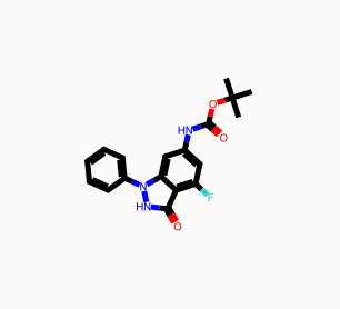 CC(C)(C)OC(=O)Nc1cc(F)c2c(=O)[nH]n(-c3ccccc3)c2c1